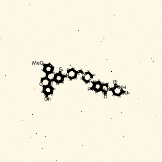 COc1cccc(C2COc3cc(O)ccc3C2c2ccc(N3CCC(CN4CCN(c5cc6c(cc5F)C(=O)N(C5CCC(=O)NC5=O)C6)CC4)CC3)c(F)c2)c1